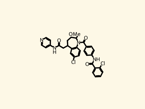 COC1CCC(CC(=O)Nc2ccncc2)c2cc(Cl)ccc2N1C(=O)c1ccc(NC(=O)c2ccccc2Cl)cc1